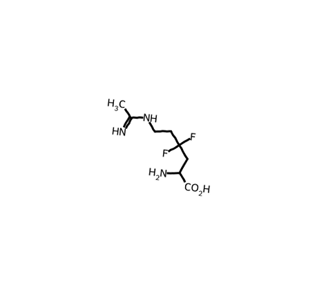 CC(=N)NCCC(F)(F)CC(N)C(=O)O